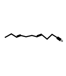 CCC=CCCC=CCCC#N